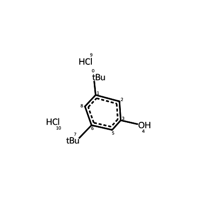 CC(C)(C)c1cc(O)cc(C(C)(C)C)c1.Cl.Cl